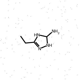 CCC1=NNC(N)N1